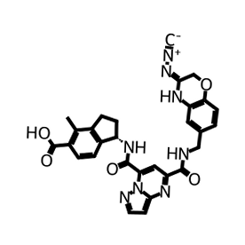 [C-]#[N+]/N=C1\COc2ccc(CNC(=O)c3cc(C(=O)N[C@H]4CCc5c4ccc(C(=O)O)c5C)n4nccc4n3)cc2N1